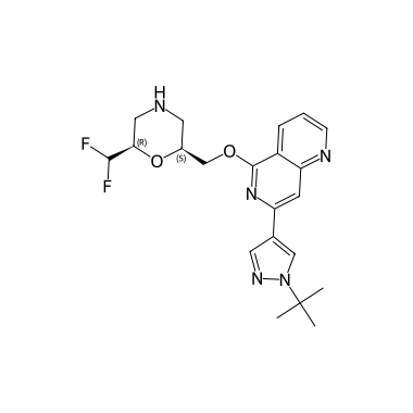 CC(C)(C)n1cc(-c2cc3ncccc3c(OC[C@@H]3CNC[C@H](C(F)F)O3)n2)cn1